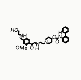 COc1cc(CNCCO)ccc1C(=O)CNCCN1CCC(OC(=O)Nc2ccccc2-c2ccccc2)CC1